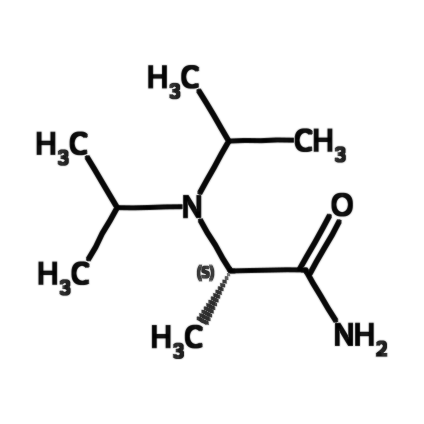 CC(C)N(C(C)C)[C@@H](C)C(N)=O